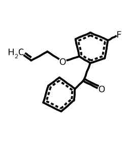 C=CCOc1ccc(F)cc1C(=O)c1ccccc1